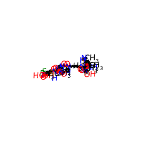 Cc1ncsc1-c1ccc([C@H](C)NC(=O)[C@@H]2C[C@@H](O)CN2C(=O)[C@@H](NC(=O)CCCCCCCNC(=O)CC(=O)N2CCN(C(=O)[C@@H](NC(=O)c3cc4cc(C(F)(F)P(=O)(O)O)ccc4s3)C(C)(C)C)[C@H](C(=O)N3CCO[C@H](c4ccccc4)C3)C2)C(C)(C)C)cc1